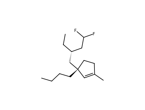 CCCC[C@]1(C[C@H](CC)CC(F)F)C=C(C)CC1